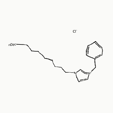 CCCCCCCCCCCCCCCCCCn1cc[n+](Cc2ccccc2)c1.[Cl-]